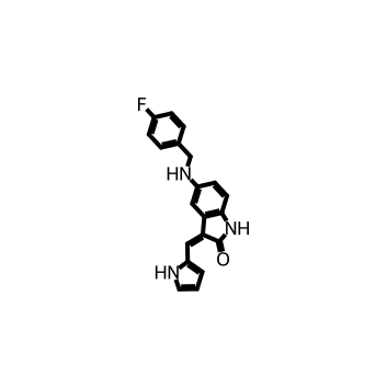 O=C1Nc2ccc(NCc3ccc(F)cc3)cc2C1=Cc1ccc[nH]1